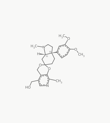 COc1ccc([C@]23CCN(C)[C@H]2CC2(CC3)OCc3c(CO)cnc(C)c3O2)cc1OC